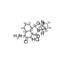 Cl.Nc1c(Cl)cc2c3c(cccc13)C(=O)N([C@H]1CN3CCC1CC3)C2=O